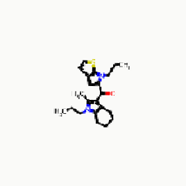 CCCn1c(C)c(C(=O)c2cc3ccsc3n2CCC)c2c1CCCC2